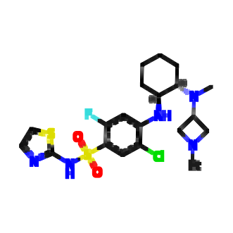 CCN1CC(N(C)[C@H]2CCCC[C@@H]2Nc2cc(F)c(S(=O)(=O)Nc3nccs3)cc2Cl)C1